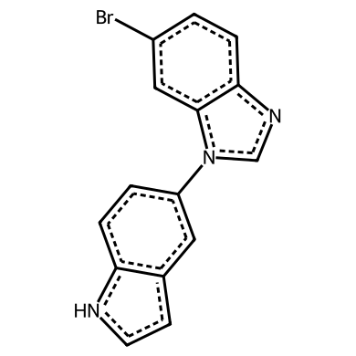 Brc1ccc2ncn(-c3ccc4[nH]ccc4c3)c2c1